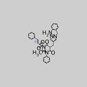 CCN(C(=O)C(Cc1cnn(Cc2ccccc2N)c1)C(=O)NS(=O)(=O)/C=C/c1ccccc1)c1ccccc1